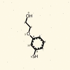 OCCOc1cccc(S)c1